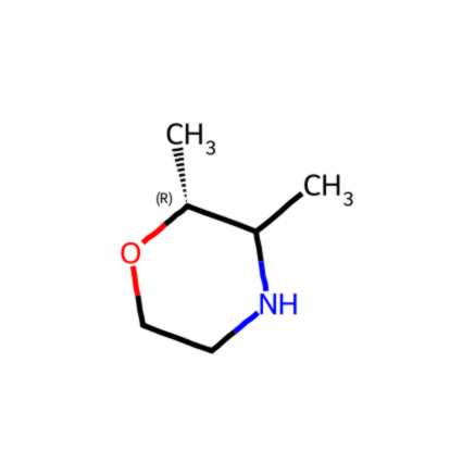 CC1NCCO[C@@H]1C